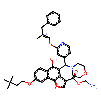 C/C(=C\Oc1cc(C(c2c(O)c3ccc(OCCC(C)(C)C)cc3c3occ(C(=O)OCN)c23)N2CCOCC2)ccn1)Cc1ccccc1